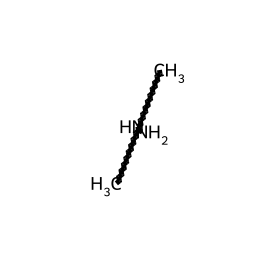 CCCCCCCCCCCCCCCCCCNC(N)CCCCCCCCCCCCCCCCC